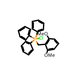 COc1cccc(OC)c1CP(Cl)(c1ccccc1)(c1ccccc1)c1ccccc1